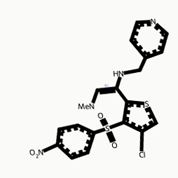 CN/C=C(/NCc1ccncc1)c1scc(Cl)c1S(=O)(=O)c1ccc([N+](=O)[O-])cc1